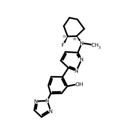 CN(c1ccc(-c2ccc(-n3nccn3)cc2O)nn1)[C@@H]1CCCC[C@@H]1F